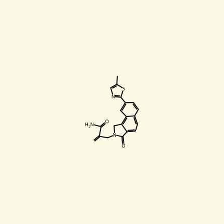 C=C(CN1Cc2c(ccc3ccc(-c4ncc(C)s4)cc23)C1=O)C(N)=O